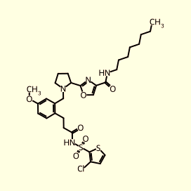 CCCCCCCCNC(=O)c1coc(C2CCCN2Cc2cc(OC)ccc2CCC(=O)NS(=O)(=O)c2sccc2Cl)n1